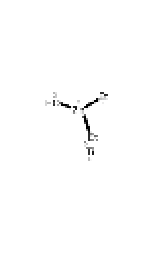 C[CH2][Zn]([OH])[CH2]C.[Ti]